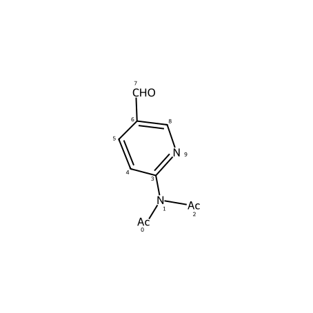 CC(=O)N(C(C)=O)c1ccc(C=O)cn1